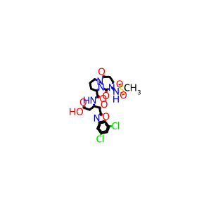 CS(=O)(=O)NN1CCC(=O)N2CCCC(C(=O)NC(CC(=O)O)C(=O)c3nc4cc(Cl)cc(Cl)c4o3)N2C1=O